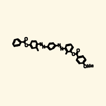 COc1ccc(C(=O)Oc2cccc(N=Nc3ccc(N=Nc4ccc(OC(=O)c5ccccc5)cc4C)cc3)c2C)cc1